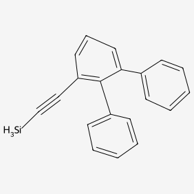 [SiH3]C#Cc1cccc(-c2ccccc2)c1-c1ccccc1